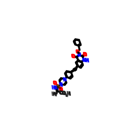 CC(C)[C@@H](NS(=O)(=O)N1CCN(c2ccc(C#Cc3ccc4[nH]c(=O)n(OCc5ccccc5)c(=O)c4c3)cc2)CC1)C(=O)O